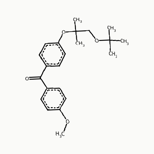 COc1ccc(C(=O)c2ccc(OC(C)(C)COC(C)(C)C)cc2)cc1